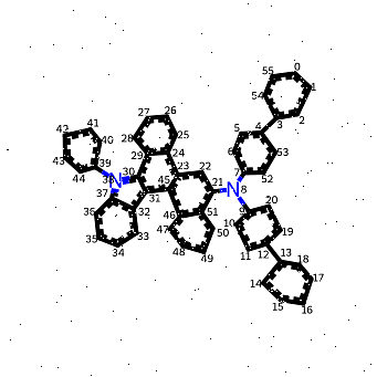 c1ccc(-c2ccc(N(c3ccc(-c4ccccc4)cc3)c3cc4c5ccccc5c5c(c6ccccc6n5-c5ccccc5)c4c4ccccc34)cc2)cc1